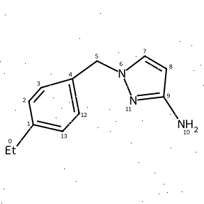 CCc1ccc(Cn2ccc(N)n2)cc1